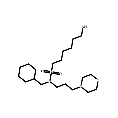 NCCCCCCS(=O)(=O)N(CCCN1CCOCC1)CC1CCCCC1